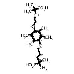 Cc1c(C)c(OCCCC(C)(C)C(=O)O)c(C)c(C)c1OCCCC(C)(C)C(=O)O